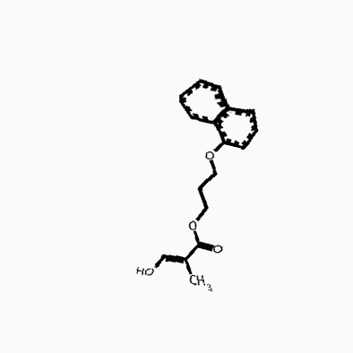 CC(=CO)C(=O)OCCCOc1cccc2ccccc12